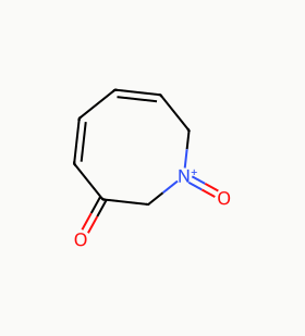 O=C1/C=C\C=C/C[N+](=O)C1